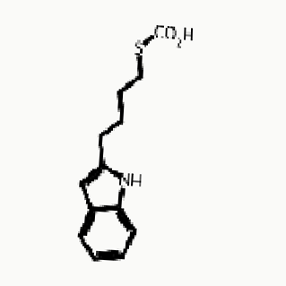 O=C(O)SCCCCc1cc2ccccc2[nH]1